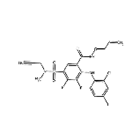 C#CCN(C)S(=O)(=O)c1cc(C(=O)NOCC=C)c(Nc2ccc(I)cc2Cl)c(F)c1F